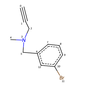 C#CCN(C)Cc1cccc(Br)c1